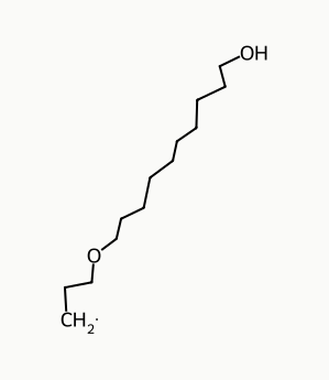 [CH2]CCOCCCCCCCCCCO